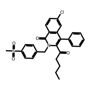 CCCCC(=O)c1c(-c2ccccc2)c2cc(Cl)ccc2c(=O)n1Cc1ccc(S(C)(=O)=O)cc1